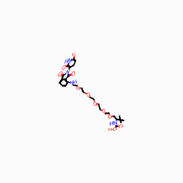 CC(C)(C)C(COCCOCCOCCOCCOCCNc1cccc2c1C(=O)N(C1CCC(=O)NC1=O)C2=O)NC(=O)O